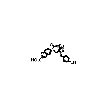 CCCCC(=O)N(Cc1cncn1Cc1ccc(C#N)cc1)c1ccc2sc(C(=O)O)cc2c1